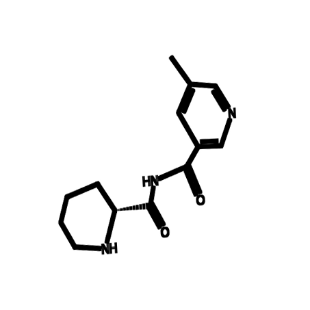 Cc1cncc(C(=O)NC(=O)[C@H]2CCCCN2)c1